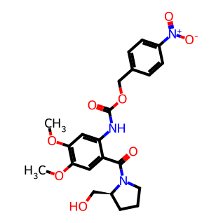 COc1cc(NC(=O)OCc2ccc([N+](=O)[O-])cc2)c(C(=O)N2CCC[C@H]2CO)cc1OC